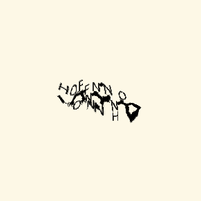 CC[C@H]1O[C@@H](n2nnc3c(NC(=O)c4ccccc4)ncnc32)C(F)(F)[C@@H]1O